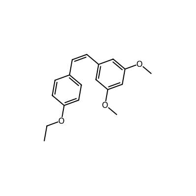 CCOc1ccc(/C=C\c2cc(OC)cc(OC)c2)cc1